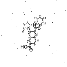 C[C@H]1CCCN1c1nc2cc(C(=O)O)ccc2nc1-c1nc2ccccc2s1